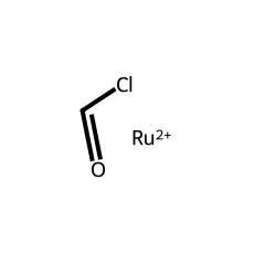 O=CCl.[Ru+2]